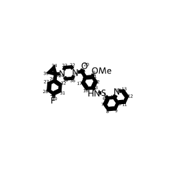 COc1cc(NSc2cccc3cccnc23)ccc1C(=O)N1CCN(C2(c3ccc(F)cc3)CC2)CC1